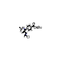 C=C(/C=C(\C)Cl)/C(=N\N(C)C)N1CCN(C(=O)OC(C)(C)C)CC1